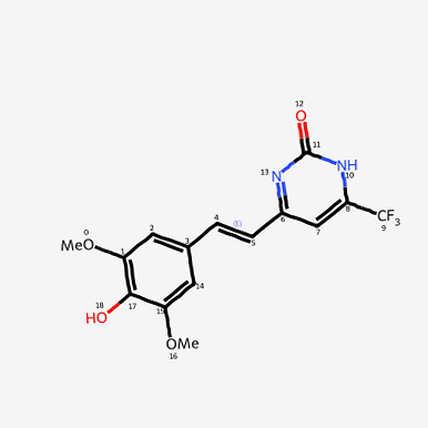 COc1cc(/C=C/c2cc(C(F)(F)F)[nH]c(=O)n2)cc(OC)c1O